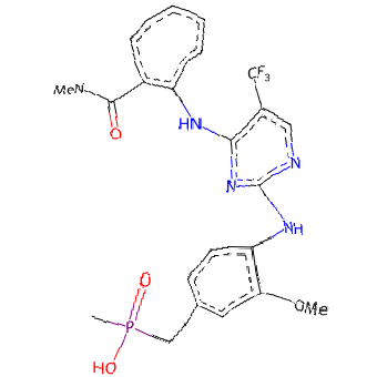 CNC(=O)c1ccccc1Nc1nc(Nc2ccc(CP(C)(=O)O)cc2OC)ncc1C(F)(F)F